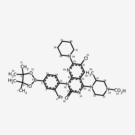 CC(C)c1cc(B2OC(C)(C)C(C)(C)O2)ccc1-n1c(=O)nc(N2CCN(C(=O)O)CC2C)c2cc(Cl)c(N3CCCCC3)nc21